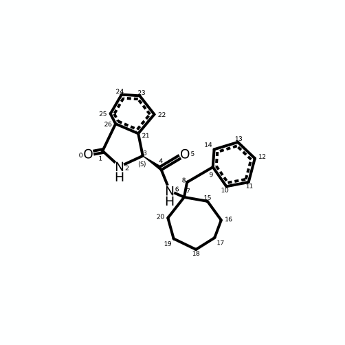 O=C1N[C@H](C(=O)NC2(Cc3ccccc3)CCCCCC2)c2ccccc21